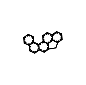 c1ccc2c(c1)ccc1cc3c4c(ccc5cccc(c54)C3)c12